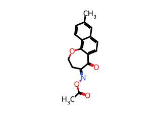 CC(=O)O/N=C1\CCOc2c(ccc3cc(C)ccc23)C1=O